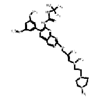 COc1cc(OC)cc(-c2cc3cnc(NC/C(N)=C/N(N)CCN4CCN(C)CC4)nc3nc2NC(=O)NC(C)(C)C)c1